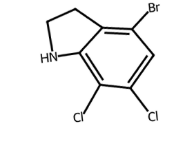 Clc1cc(Br)c2c(c1Cl)NCC2